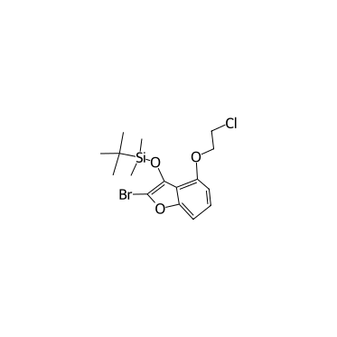 CC(C)(C)[Si](C)(C)Oc1c(Br)oc2cccc(OCCCl)c12